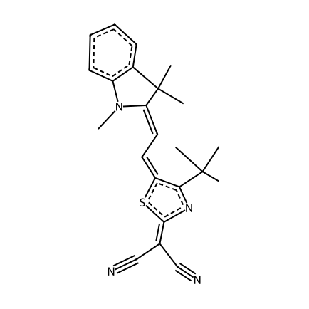 CN1/C(=C\C=c2\sc(=C(C#N)C#N)nc2C(C)(C)C)C(C)(C)c2ccccc21